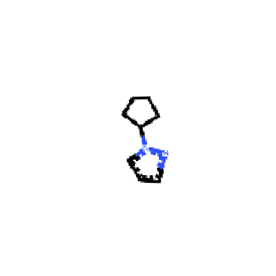 c1cnn(C2CCCC2)c1